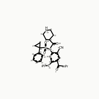 CCCC(=O)c1cc(C#N)c(N(C(=O)C2CCNCC2)S(=O)(=O)C2(c3ccccc3)CC2)nc1SC(C)C